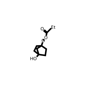 CCC(=O)OOC12CCC(O)(CC1)C2